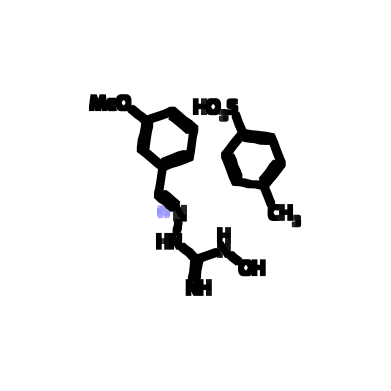 COc1cccc(/C=N/NC(=N)NO)c1.Cc1ccc(S(=O)(=O)O)cc1